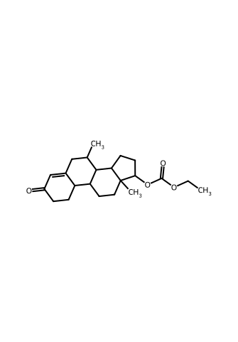 CCOC(=O)OC1CCC2C3C(C)CC4=CC(=O)CCC4C3CCC12C